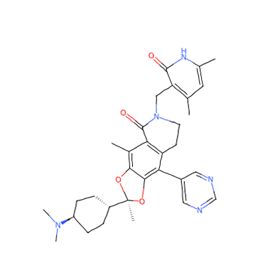 Cc1cc(C)c(CN2CCc3c(c(C)c4c(c3-c3cncnc3)O[C@@](C)([C@H]3CC[C@H](N(C)C)CC3)O4)C2=O)c(=O)[nH]1